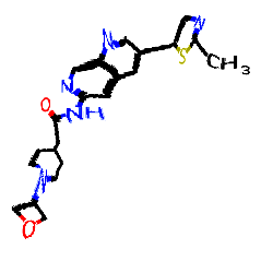 Cc1ncc(-c2cnc3cnc(NC(=O)C4CCN(C5COC5)CC4)cc3c2)s1